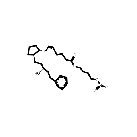 O=C(CCC/C=C\C[C@H]1CCC[C@@H]1CC[C@@H](O)CCc1ccccc1)OCCCCO[N+](=O)[O-]